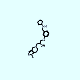 Cn1ncc2c1CCN(CC(O)COc1cccc(CNC3CCCC3)c1)C2